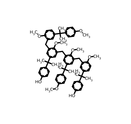 COc1ccc(C(C)(C)c2ccc(OC)c(Cc3cc(C(C)(C)c4ccc(O)cc4)cc(Cc4cc(C(C)(C)c5ccc(OC)cc5)cc(Cc5cc(C(C)(C)c6ccc(O)cc6)ccc5OC)c4OC)c3OC)c2)cc1